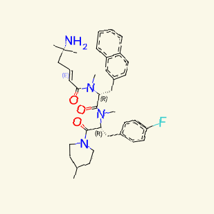 CC1CCN(C(=O)[C@@H](Cc2ccc(F)cc2)N(C)C(=O)[C@@H](Cc2ccc3ccccc3c2)N(C)C(=O)/C=C/CC(C)(C)N)CC1